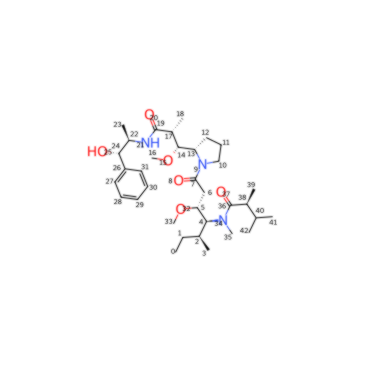 CC[C@H](C)[C@@H]([C@@H](CC(=O)N1CCC[C@H]1[C@H](OC)[C@@H](C)C(=O)N[C@H](C)[C@@H](O)c1ccccc1)OC)N(C)C(=O)[C@@H](C)C(C)C